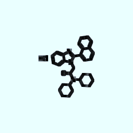 Cl.O=C(Cn1c(-c2cccc3ccccc23)nc2ccccc21)N(C1CCCCC1)C1CCCCC1